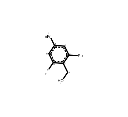 CCCc1cc(F)c(CO)c(F)c1